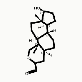 C[C@]12COC(C=O)C[C@@H]1CC[C@@H]1[C@@H]2CC[C@]2(C)[C@@H](O)CC[C@@H]12